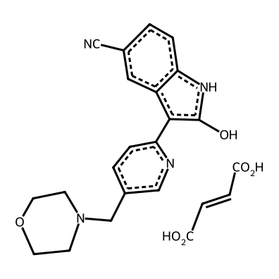 N#Cc1ccc2[nH]c(O)c(-c3ccc(CN4CCOCC4)cn3)c2c1.O=C(O)C=CC(=O)O